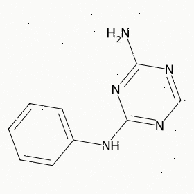 Nc1n[c]nc(Nc2ccccc2)n1